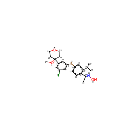 COC1(c2cc(F)cc(Sc3ccc(/C(C)=N/O)c(C(C)C)c3)c2)CCOCC1